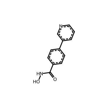 O=C(NO)c1ccc(-c2cccnc2)cc1